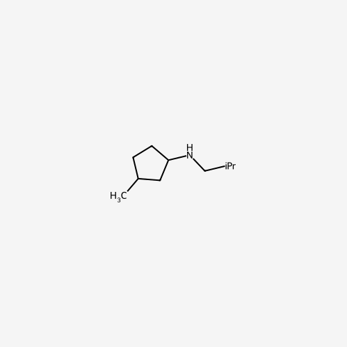 CC(C)CNC1CCC(C)C1